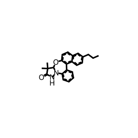 CCCc1ccc2c3c(ccc2c1)OC1N(NC(=O)C1(C)C)c1ccccc1-3